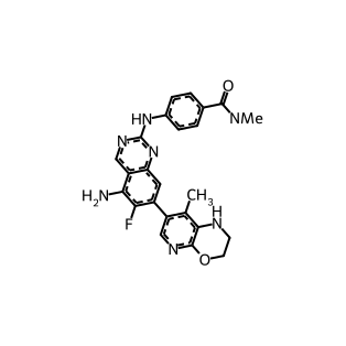 CNC(=O)c1ccc(Nc2ncc3c(N)c(F)c(-c4cnc5c(c4C)NCCO5)cc3n2)cc1